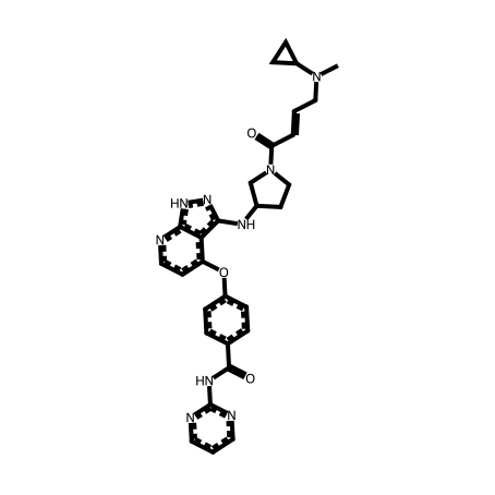 CN(CC=CC(=O)N1CCC(Nc2n[nH]c3nccc(Oc4ccc(C(=O)Nc5ncccn5)cc4)c23)C1)C1CC1